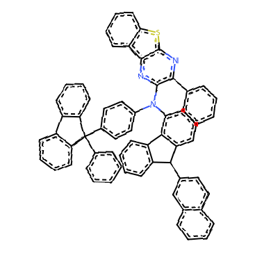 c1ccc(-c2nc3sc4ccccc4c3nc2N(c2ccc(C3(c4ccccc4)c4ccccc4-c4ccccc43)cc2)c2cccc3c2-c2ccccc2C3c2ccc3ccccc3c2)cc1